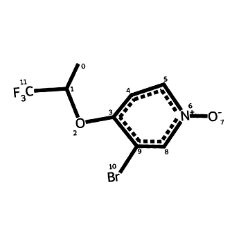 CC(Oc1cc[n+]([O-])cc1Br)C(F)(F)F